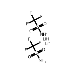 NS(=O)(=O)C(F)(F)F.[Li+].[LiH].[NH-]S(=O)(=O)C(F)(F)F